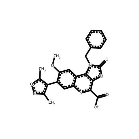 COc1cc2c(cc1-c1c(C)noc1C)nc(C(=O)O)c1oc(=O)n(Cc3ccccc3)c12